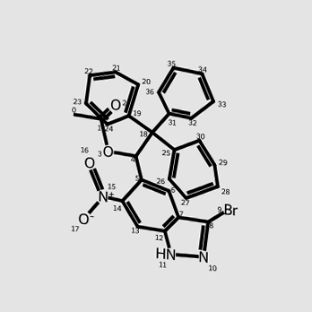 CC(=O)OC(c1cc2c(Br)n[nH]c2cc1[N+](=O)[O-])C(c1ccccc1)(c1ccccc1)c1ccccc1